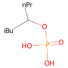 CCCC(OP(=O)(O)O)C(C)CC